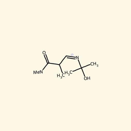 CNC(=O)C(C)/C=N\C(C)(C)O